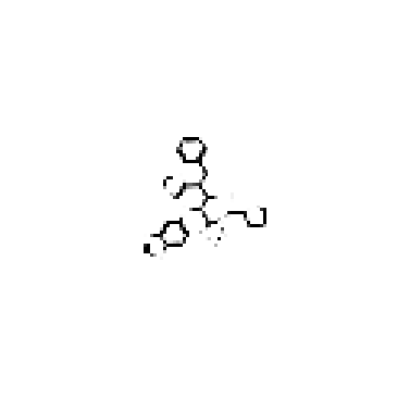 CC(C(Cc1ccccc1)C1=COCO1)C(Nc1ccc2[nH]cnc2c1)c1nnnn1CC1CCCO1